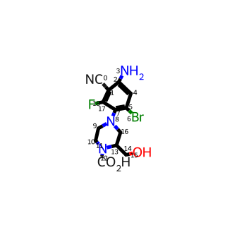 N#Cc1c(N)cc(Br)c(N2CCN(C(=O)O)C(CO)C2)c1F